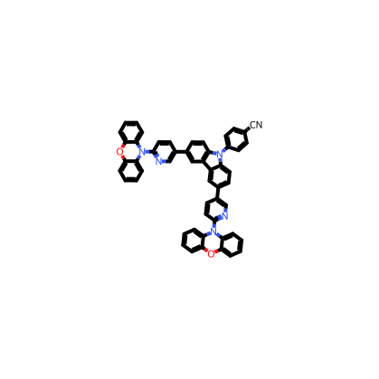 N#Cc1ccc(-n2c3ccc(-c4ccc(N5c6ccccc6Oc6ccccc65)nc4)cc3c3cc(-c4ccc(N5c6ccccc6Oc6ccccc65)nc4)ccc32)cc1